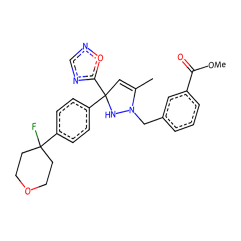 COC(=O)c1cccc(CN2NC(c3ccc(C4(F)CCOCC4)cc3)(c3ncno3)C=C2C)c1